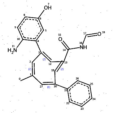 CC1=C/C(c2cc(O)ccc2N)=C/C(C(=O)NC=O)=C/C(c2ccccc2)=C\1